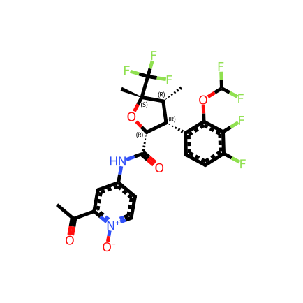 CC(=O)c1cc(NC(=O)[C@@H]2O[C@](C)(C(F)(F)F)[C@H](C)[C@@H]2c2ccc(F)c(F)c2OC(F)F)cc[n+]1[O-]